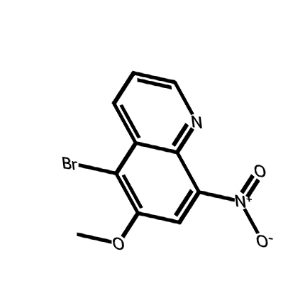 COc1cc([N+](=O)[O-])c2ncccc2c1Br